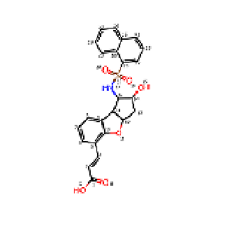 O=C(O)C=Cc1cccc2c1OC1CC(O)C(NS(=O)(=O)c3cccc4ccccc34)C21